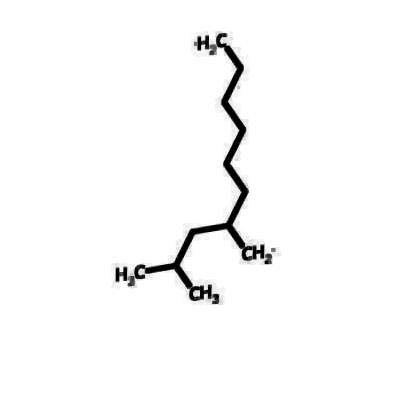 [CH2]CCCCCC([CH2])CC(C)C